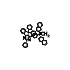 C=P(c1ccc(-c2nc(-c3ccccc3)nc3c2C(c2ccccc2)(c2ccccc2)c2ccccc2-3)cc1)(c1ccc2ccccc2c1)c1ccc2ccccc2c1